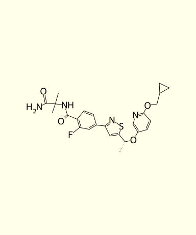 C[C@@H](Oc1ccc(OCC2CC2)nc1)c1cc(-c2ccc(C(=O)NC(C)(C)C(N)=O)c(F)c2)ns1